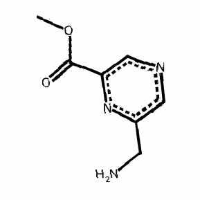 COC(=O)c1cncc(CN)n1